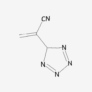 C=C(C#N)C1N=NN=N1